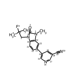 Cn1c(=O)n(CC(C)(C)F)c2ccc(-c3cncc(C#N)c3)cc21